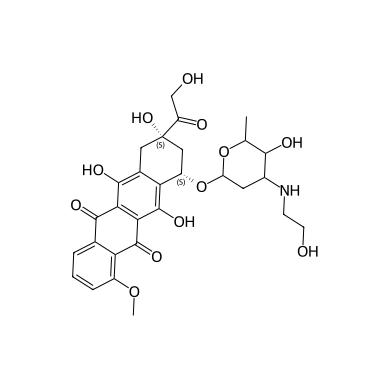 COc1cccc2c1C(=O)c1c(O)c3c(c(O)c1C2=O)C[C@@](O)(C(=O)CO)C[C@@H]3OC1CC(NCCO)C(O)C(C)O1